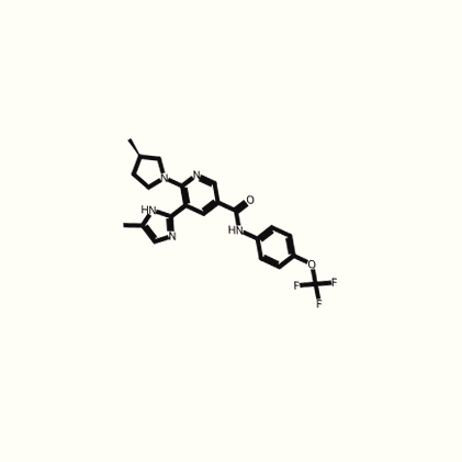 Cc1cnc(-c2cc(C(=O)Nc3ccc(OC(F)(F)F)cc3)cnc2N2CC[C@@H](C)C2)[nH]1